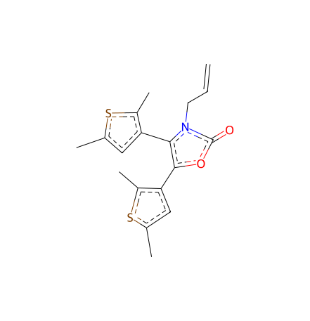 C=CCn1c(-c2cc(C)sc2C)c(-c2cc(C)sc2C)oc1=O